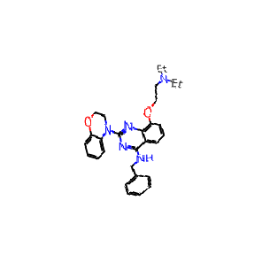 CCN(CC)CCOc1cccc2c(NCc3ccccc3)nc(N3CCOc4ccccc43)nc12